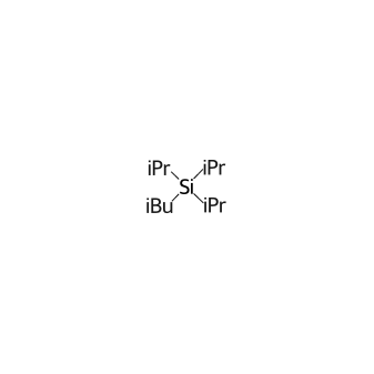 [CH2]C(CC)[Si](C(C)C)(C(C)C)C(C)C